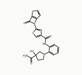 NC(=O)C1(O)CCN(c2ccccc2NC(=O)c2csc(N3C(=O)c4sccc43)n2)C1